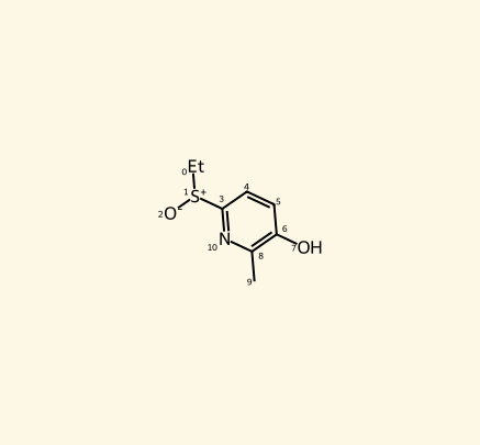 CC[S+]([O-])c1ccc(O)c(C)n1